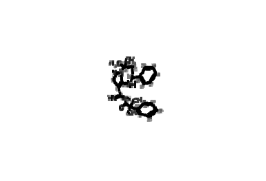 CC(C)(C(=O)NC(=N)c1cnn2c1NC(c1ccccc1)CC2(C)C)c1ccccc1